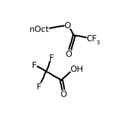 CCCCCCCCOC(=O)C(F)(F)F.O=C(O)C(F)(F)F